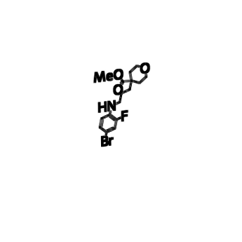 COC(=O)C1(CCCNc2ccc(Br)cc2F)CCOCC1